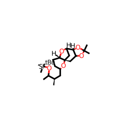 CC(O[Si](C)(C)C(C)(C)C)[C@H](C)CC1CC[C@@H]2O[C@@H]3C[C@]2(CC2OC(C)(C)O[C@H]23)O1